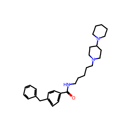 O=C(NCCCCCN1CCC(N2CCCCC2)CC1)c1ccc(Cc2ccccc2)cc1